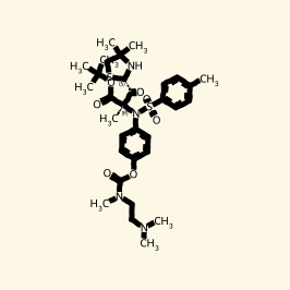 Cc1ccc(S(=O)(=O)N(c2ccc(OC(=O)N(C)CCN(C)C)cc2)[C@@](C)(C(=O)OC(C)(C)C)C(=O)[C@H]2NC(C)(C)CS2)cc1